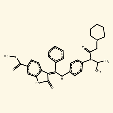 COC(=O)c1ccc2c(c1)NC(=O)/C2=C(\Nc1ccc(N(C(=O)CN2CCCCC2)C(C)C)cc1)c1ccccc1